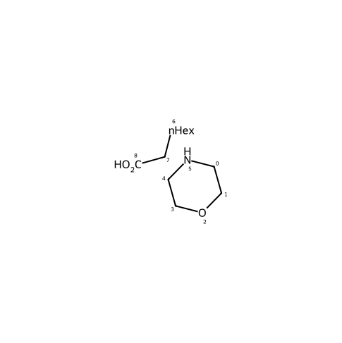 C1COCCN1.CCCCCCCC(=O)O